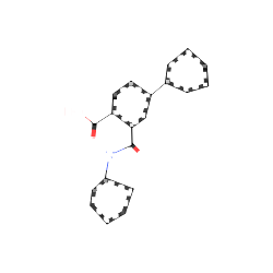 O=C(O)c1ccc(-c2ccccc2)cc1C(=O)Nc1ccccc1